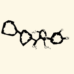 C=C(c1ccc(-c2ccccc2)cc1)c1c(C)nn(-c2ccc(C#N)c(Cl)c2)c1C